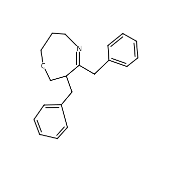 c1ccc(CC2=NCCCCCC2Cc2ccccc2)cc1